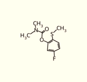 CSc1ccc(F)cc1OC(=O)N(C)C